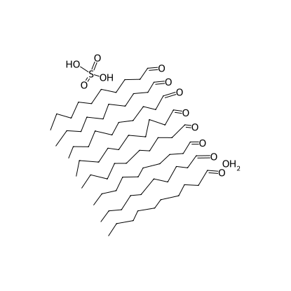 CCCCCCCCCC=O.CCCCCCCCCC=O.CCCCCCCCCC=O.CCCCCCCCCC=O.CCCCCCCCCC=O.CCCCCCCCCC=O.CCCCCCCCCC=O.CCCCCCCCCC=O.O.O=S(=O)(O)O